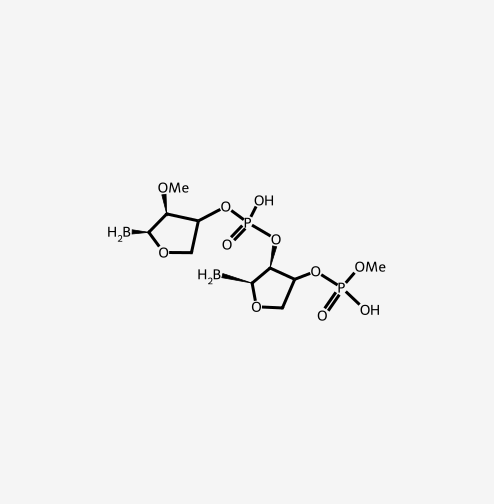 B[C@@H]1OCC(OP(=O)(O)O[C@H]2C(OP(=O)(O)OC)CO[C@H]2B)[C@@H]1OC